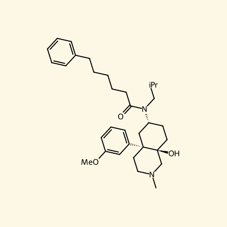 COc1cccc([C@@]23CCN(C)C[C@@]2(O)CC[C@@H](N(CC(C)C)C(=O)CCCCCc2ccccc2)C3)c1